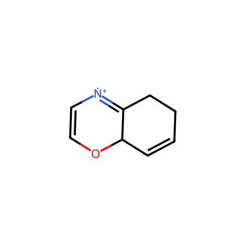 C1=CC2OC=C[N+]=C2CC1